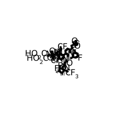 C[C@@H]1c2c(C(F)(F)F)nn(CC(=O)N[C@@H](Cc3cc(F)cc(F)c3)c3nc(CCC(C)(C)S(C)(=O)=O)ccc3-c3ccc(Cl)c4c(N(C(=O)N(CC(=O)O)CC(=O)O)S(C)(=O)=O)nn(CC(F)(F)F)c34)c2C(F)(F)[C@@H]1C